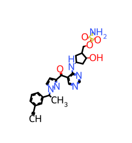 C#Cc1cccc(C(C)n2ccc(C(=O)c3cncnc3N[C@@H]3CC(COS(N)(=O)=O)[C@@H](O)C3)n2)c1